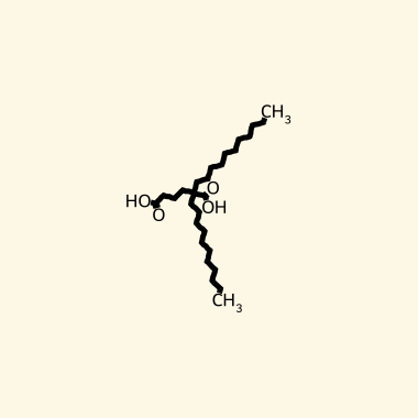 CCCCCCCCCCCC(CCCCCCCCCCC)(CCCC(=O)O)C(=O)O